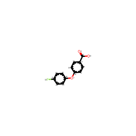 [O]C(=O)c1ccc(Oc2ccc(F)cc2)cc1